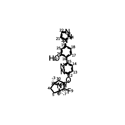 CN1[C@@]2(C)CC[C@]1(C)[C@H](F)[C@@H](Oc1ccc(-c3ccc(-n4ccnn4)cc3O)nn1)C2